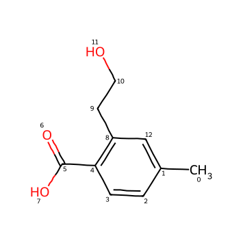 Cc1ccc(C(=O)O)c(CCO)c1